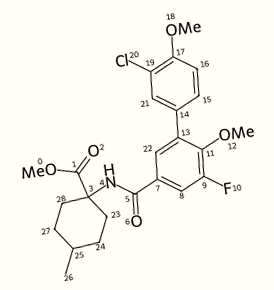 COC(=O)C1(NC(=O)c2cc(F)c(OC)c(-c3ccc(OC)c(Cl)c3)c2)CCC(C)CC1